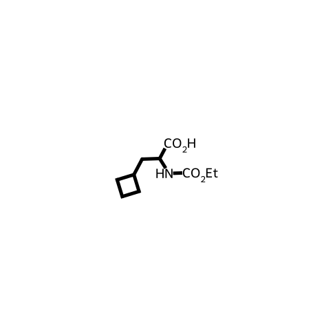 CCOC(=O)NC(CC1CCC1)C(=O)O